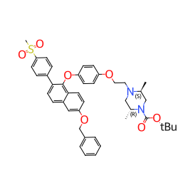 C[C@@H]1CN(CCOc2ccc(Oc3c(-c4ccc(S(C)(=O)=O)cc4)ccc4cc(OCc5ccccc5)ccc34)cc2)[C@@H](C)CN1C(=O)OC(C)(C)C